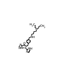 CCCN(CCC)CCCCNCc1ccc(CN(Cc2ncc[nH]2)C(=O)c2ncn[nH]2)cc1